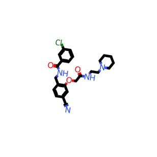 N#Cc1ccc(CNC(=O)c2cccc(Cl)c2)c(OCC(=O)NCCN2CCCCC2)c1